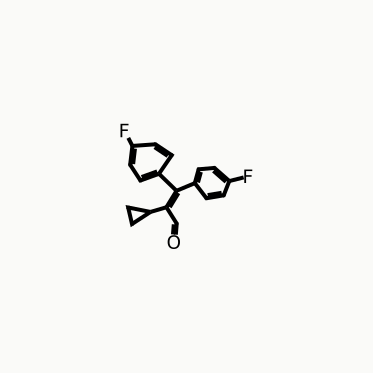 O=CC(=C(c1ccc(F)cc1)c1ccc(F)cc1)C1CC1